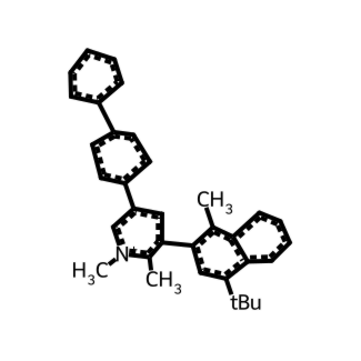 Cc1c(-c2cc(-c3ccc(-c4ccccc4)cc3)c[n+](C)c2C)cc(C(C)(C)C)c2ccccc12